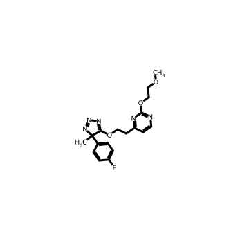 COCCOc1nccc(CCOC2=NN=NC2(C)c2ccc(F)cc2)n1